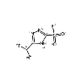 O=S(=O)(F)c1nnc(C(F)F)[nH]1